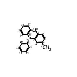 [Li][c]1ccc(C)cc1P(c1ccccc1)c1ccccc1